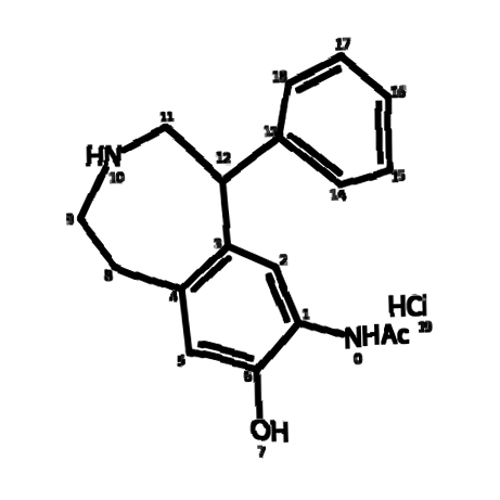 CC(=O)Nc1cc2c(cc1O)CCNCC2c1ccccc1.Cl